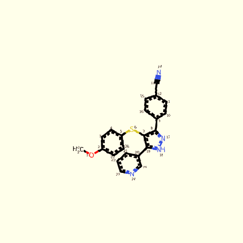 COc1ccc(Sc2c(-c3ccc(C#N)cc3)n[nH]c2-c2cccnc2)cc1